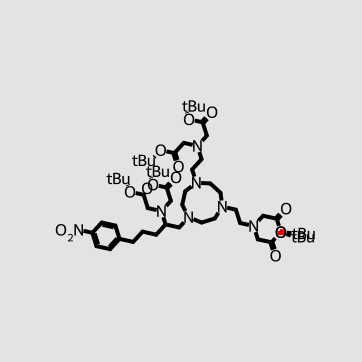 CC(C)(C)OC(=O)CN(CCN1CCN(CCN(CC(=O)OC(C)(C)C)CC(=O)OC(C)(C)C)CCN(CC(CCCc2ccc([N+](=O)[O-])cc2)N(CC(=O)OC(C)(C)C)CC(=O)OC(C)(C)C)CC1)CC(=O)OC(C)(C)C